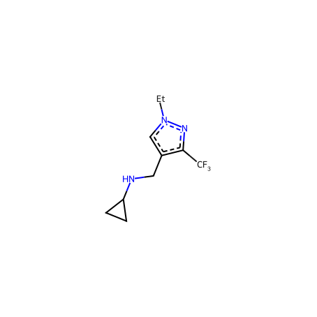 CCn1cc(CNC2CC2)c(C(F)(F)F)n1